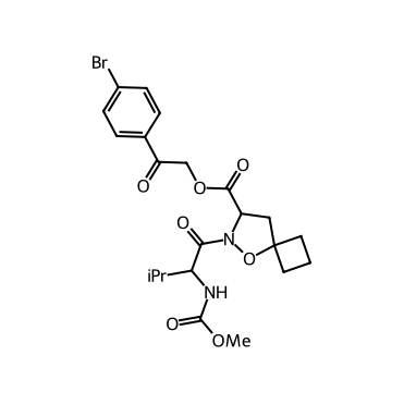 COC(=O)NC(C(=O)N1OC2(CCC2)CC1C(=O)OCC(=O)c1ccc(Br)cc1)C(C)C